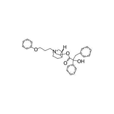 O=C(O[C@H]1C[N+]2(CCCOc3ccccc3)CCC1CC2)C(O)(Cc1ccccc1)c1ccccc1